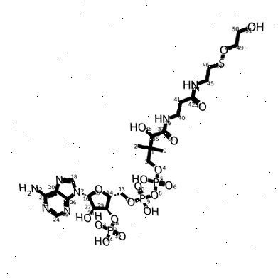 CC(C)(COP(=O)(O)OP(=O)(O)OC[C@H]1O[C@@H](n2cnc3c(N)ncnc32)[C@H](O)[C@@H]1OP(=O)(O)O)C(O)C(=O)NCCC(=O)NCCSOCCO